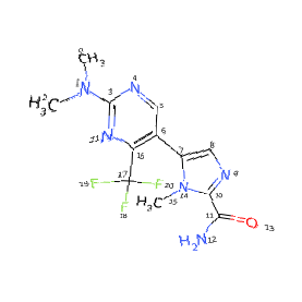 CN(C)c1ncc(-c2cnc(C(N)=O)n2C)c(C(F)(F)F)n1